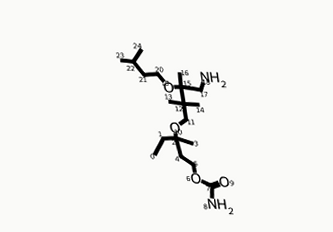 CCC(C)(CCOC(N)=O)OCC(C)(C)C(C)(CN)OCCC(C)C